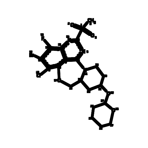 CS(=O)(=O)c1nc2c3c(c(Cl)c(Br)c(F)c3n1)OCC1CC(OC3CCCCO3)CCN21